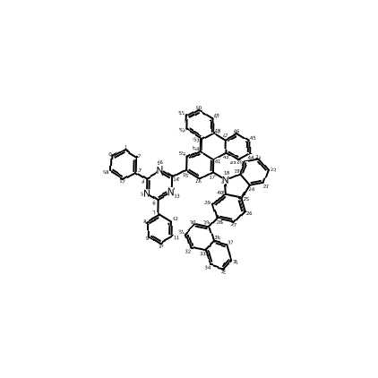 c1ccc(-c2nc(-c3ccccc3)nc(-c3cc(-n4c5ccccc5c5ccc(-c6cccc7ccccc67)cc54)c4c5ccccc5c5ccccc5c4c3)n2)cc1